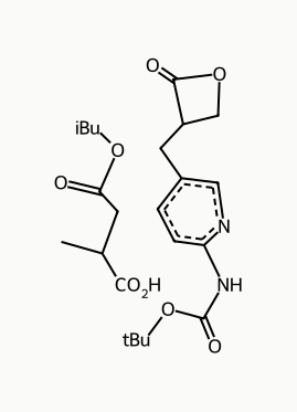 CC(C)(C)OC(=O)Nc1ccc(CC2COC2=O)cn1.CCC(C)OC(=O)CC(C)C(=O)O